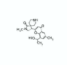 Cc1cc(C(C)O)c2oc(C3CN(C)C(=O)C34CCNCC4)cc(=O)c2c1